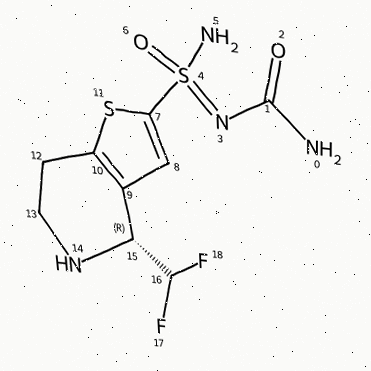 NC(=O)N=S(N)(=O)c1cc2c(s1)CCN[C@H]2C(F)F